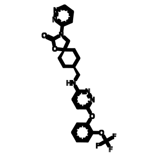 O=C1O[C@]2(CC[C@H](CNc3ccc(Oc4ccccc4OC(F)(F)F)nn3)CC2)CN1c1cccnn1